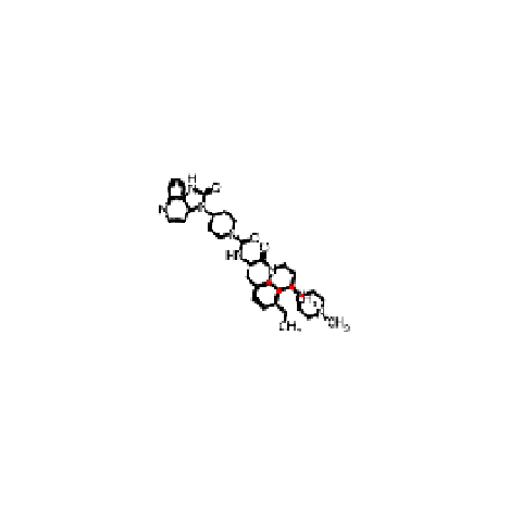 CCc1ccc(C[C@@H](NC(=O)N2CCC(N3C(=O)NC45C=CC=CC4=NC=CC35)CC2)C(=O)N2CCC(N3CCN(C)CC3)CC2)cc1CC